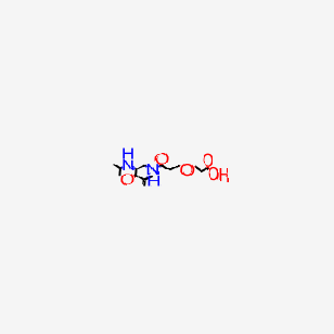 CC(C)N[C@@H](CNC(=O)CCOCCC(=O)O)C(=O)C(C)C